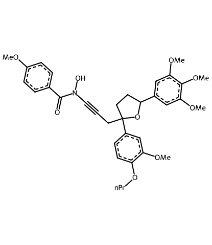 CCCOc1ccc(C2(CC#CN(O)C(=O)c3ccc(OC)cc3)CCC(c3cc(OC)c(OC)c(OC)c3)O2)cc1OC